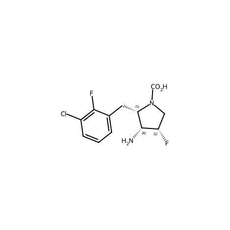 N[C@H]1[C@@H](F)CN(C(=O)O)[C@H]1Cc1cccc(Cl)c1F